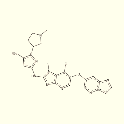 CN1CCC(n2nc(Nc3nc4ncc(Oc5cnn6ccnc6c5)c(Cl)c4n3C)cc2C(C)(C)C)C1